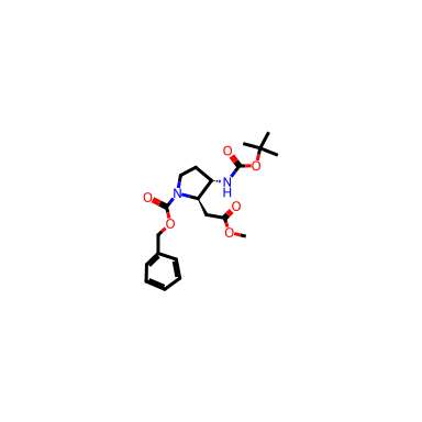 COC(=O)C[C@@H]1[C@@H](NC(=O)OC(C)(C)C)CCN1C(=O)OCc1ccccc1